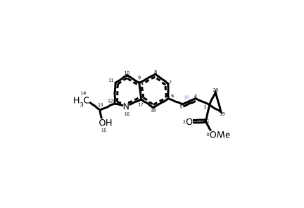 COC(=O)C1(/C=C/c2ccc3ccc(C(C)O)nc3c2)CC1